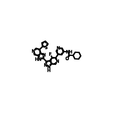 O=C(Nc1cncc(-c2ncc3[nH]nc(-c4nc5c(-c6cccs6)cncc5[nH]4)c3c2F)c1)C1CCCCC1